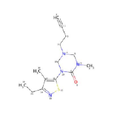 C#CCCN1CN(C)C(=O)N(c2snc(CC)c2C)C1